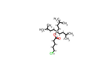 CC(C)CC[Si](CCC(C)C)(CCC(C)C)OC(=O)CCCCCl